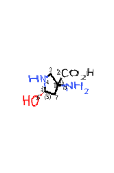 N[C@@]1(C(=O)O)CN[C@@H](O)C1